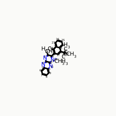 Cc1nc2nc3ccccc3nc2[n+](C)c1-c1cc(C(C)(C)C)c2ccccc2c1C